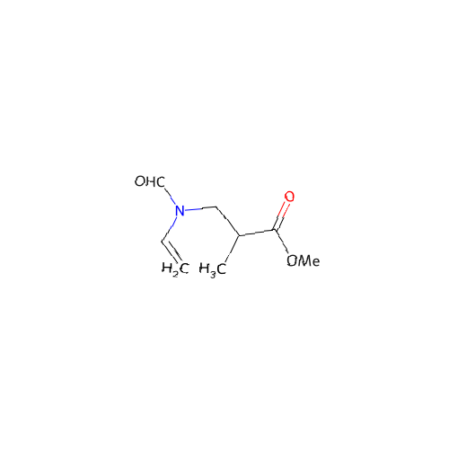 C=CN(C=O)CC(C)C(=O)OC